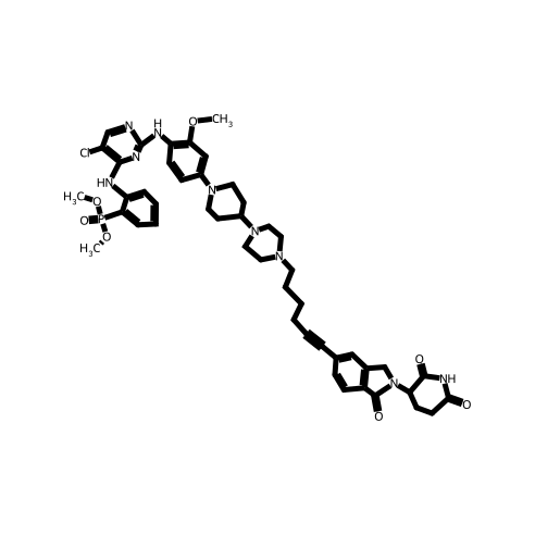 COc1cc(N2CCC(N3CCN(CCCCC#Cc4ccc5c(c4)CN(C4CCC(=O)NC4=O)C5=O)CC3)CC2)ccc1Nc1ncc(Cl)c(Nc2ccccc2P(=O)(OC)OC)n1